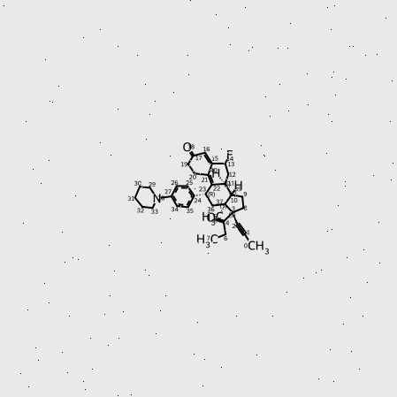 CC#C[C@]1(C(=O)CC)CC[C@H]2[C@@H]3CC(F)C4=CC(=O)CCC4=C3[C@@H](c3ccc(N4CCCCC4)cc3)C[C@@]21C